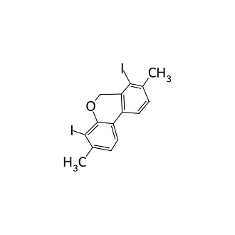 Cc1ccc2c(c1I)COc1c-2ccc(C)c1I